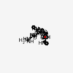 CN[C@@H](CCCNC(=N)N)C(=O)NCCC[C@H](NC(=O)[C@H](Cc1ccccc1)NC(C)=O)C(=O)N1CCC[C@H]1C(=O)N[C@H](C(=O)N[C@H](C=O)Cc1c[nH]c2ccccc12)C1(C2CCCCC2)CCC1